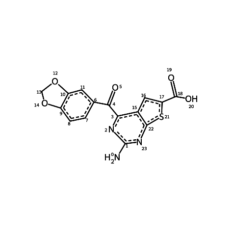 Nc1nc(C(=O)c2ccc3c(c2)OCO3)c2cc(C(=O)O)sc2n1